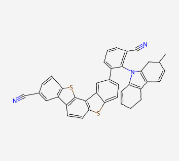 CC1C=Cc2c3c(n(-c4c(C#N)cccc4-c4ccc5sc6ccc7c8cc(C#N)ccc8sc7c6c5c4)c2C1)C=CCC3